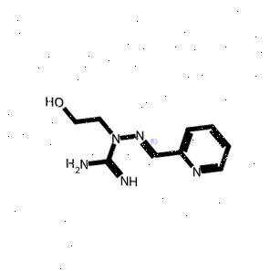 N=C(N)N(CCO)/N=C/c1ccccn1